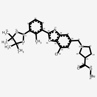 Cc1c(B2OC(C)(C)C(C)(C)O2)cccc1-c1nc2cc(CN3CCC(C(=O)OC(C)(C)C)C3)cc(Cl)c2o1